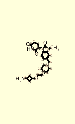 Cn1c(=O)n(C2CCC(=O)NC2=O)c2ccc(CN3CCN(CCOC4CC(N)C4)CC3)cc21